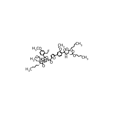 CCCCC[C@@H](C(=O)NCNC(=O)c1ccc(-c2ccc(C(=O)N[C@@H](CC(=O)OCCCC)C(=O)OCCCC)c(OCC)c2)o1)[C@@H](CC)N(C=O)OC(=O)c1ccc(OC)cc1CF